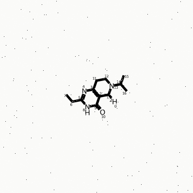 [2H]C1c2c(nc(CC)[nH]c2=O)CCN1C(C)C